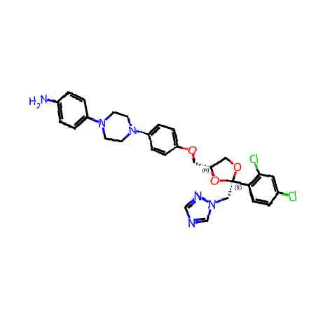 Nc1ccc(N2CCN(c3ccc(OC[C@@H]4CO[C@@](Cn5cncn5)(c5ccc(Cl)cc5Cl)O4)cc3)CC2)cc1